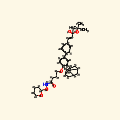 CC(C)(C)OC(=O)C=Cc1ccc(-c2ccc(OCCCC(=O)NOC3CCCCO3)c(C34CC5CC(CC(C5)C3)C4)c2)cc1